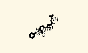 C=C(C)NC[C@@H](C)c1cc([C@@H]2CC[C@@H]3CN2C(=O)N3OCc2ccccc2)no1